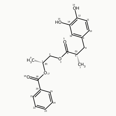 C[C@H](COC(=O)[C@@H](C)Cc1ccc(O)c(O)c1)OC(=O)c1ccccc1